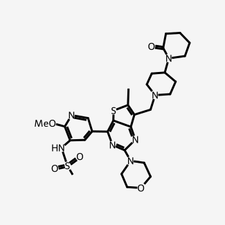 COc1ncc(-c2nc(N3CCOCC3)nc3c(CN4CCC(N5CCCCC5=O)CC4)c(C)sc23)cc1NS(C)(=O)=O